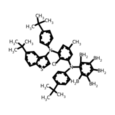 Bc1c(B)c(B)c(N(c2ccc(C(C)(C)C)cc2)c2cc(C)cc(N(c3ccc(C(C)(C)C)cc3)c3csc4ccc(C(C)(C)C)cc34)c2Cl)c(B)c1B